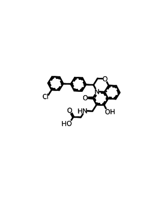 O=C(O)CNCc1c(O)c2cccc3c2n(c1=O)C(c1ccc(-c2cccc(Cl)c2)cc1)CO3